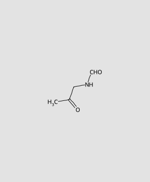 CC(=O)CNC=O